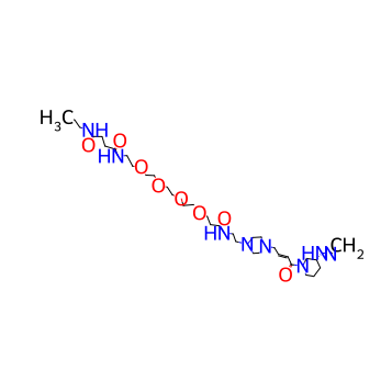 C=NN[C@@H]1CCCN(C(=O)/C=C/CN2CCN(CCNC(=O)CCOCCOCCOCCOCCNC(=O)CCC(=O)NCCC)CC2)C1